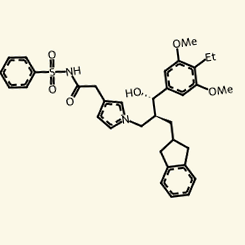 CCc1c(OC)cc([C@@H](O)[C@@H](CC2Cc3ccccc3C2)Cn2ccc(CC(=O)NS(=O)(=O)c3ccccc3)c2)cc1OC